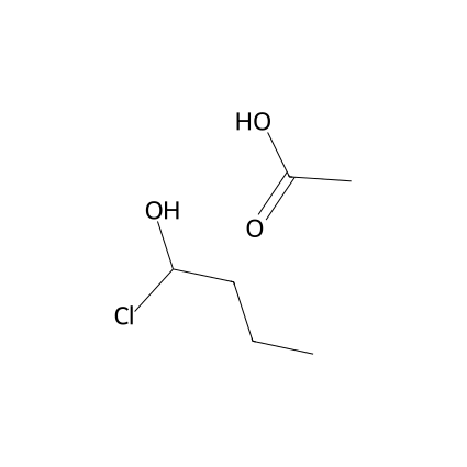 CC(=O)O.CCCC(O)Cl